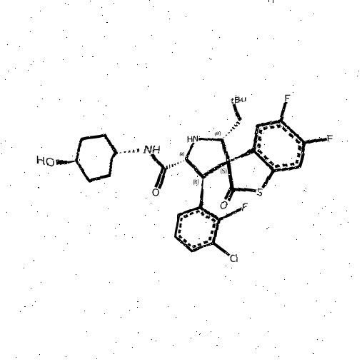 CC(C)(C)C[C@H]1N[C@@H](C(=O)N[C@H]2CC[C@H](O)CC2)[C@H](c2cccc(Cl)c2F)[C@@]12C(=O)Sc1cc(F)c(F)cc12